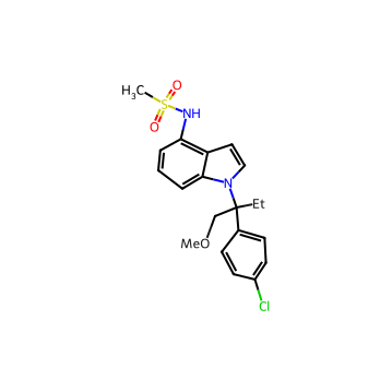 CCC(COC)(c1ccc(Cl)cc1)n1ccc2c(NS(C)(=O)=O)cccc21